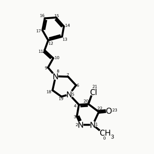 Cn1ncc(N2CCN(C/C=C/c3ccccc3)CC2)c(Cl)c1=O